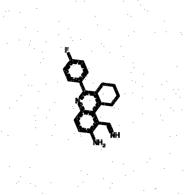 N=Cc1c(N)ccc2nc(-c3ccc(F)cc3)c3c(c12)CCCC3